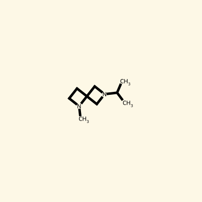 CC(C)N1CC2(CCN2C)C1